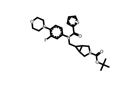 CC(C)(C)OC(=O)N1CC2C(C1)C2CN(C(=O)c1cccs1)c1ccc(N2CCOCC2)c(F)c1